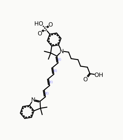 CC1(C)C(/C=C/C=C/C=C/C=C2/N(CCCCCC(=O)O)c3ccc(S(=O)(=O)O)cc3C2(C)C)=Nc2ccccc21